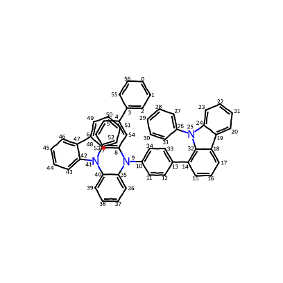 c1ccc(-c2cccc(N(c3ccc(-c4cccc5c6ccccc6n(-c6ccccc6)c45)cc3)c3ccccc3-n3c4ccccc4c4ccccc43)c2)cc1